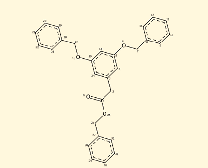 O=C(Cc1cc(OCc2ccccc2)cc(OCc2ccccc2)c1)OCc1ccccc1